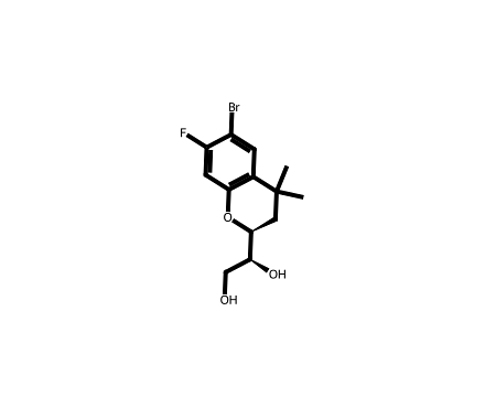 CC1(C)C[C@@H]([C@@H](O)CO)Oc2cc(F)c(Br)cc21